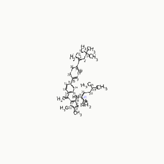 C=C(CC(C)(C)C)C1=NC=C(c2ccc(C(=C)c3c(N/C(CCC(C)C)=N\N)sc(C)c3C)cc2)CC1